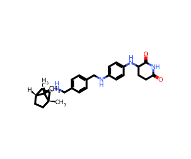 CC1(C)[C@@H]2CC[C@@]1(C)[C@@H](NCc1ccc(CNc3ccc(NC4CCC(=O)NC4=O)cc3)cc1)C2